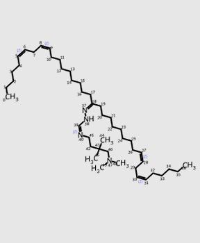 CCCCC/C=C\C/C=C\CCCCCCCCC(CCCCCCCC/C=C\C/C=C\CCCCC)=NN/C=N\CCC(C)(C)CN(C)C